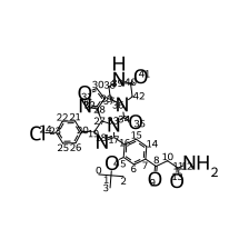 CC(C)(C)Oc1cc(C(=O)CC(N)=O)ccc1C1=N[C@@H](c2ccc(Cl)cc2)[C@@H](c2ccon2)N1C(=O)N1CCNC(=O)C1